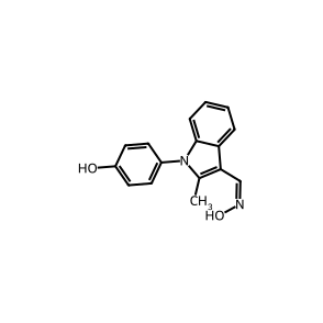 Cc1c(/C=N\O)c2ccccc2n1-c1ccc(O)cc1